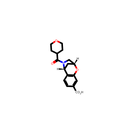 O=C(O)c1ccc2c(c1)O[C@@H]1C[C@H]2N(C(=O)C2CCOCC2)C1